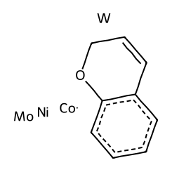 C1=Cc2ccccc2OC1.[Co].[Mo].[Ni].[W]